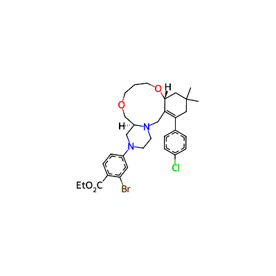 CCOC(=O)c1ccc(N2CCN3CC4=C(c5ccc(Cl)cc5)CC(C)(C)C[C@H]4OCCCOC[C@@H]3C2)cc1Br